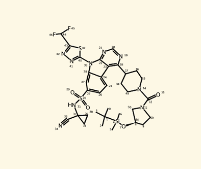 CC(C)(C)[Si](C)(C)O[C@@H]1CCN(C(=O)N2CCC(c3ncnc4c3c3ccc(S(=O)(=O)NC5(C#N)CC5)cc3n4-c3nnc(C(F)F)s3)CC2)C1